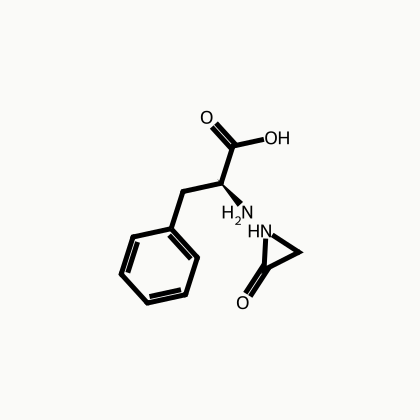 N[C@@H](Cc1ccccc1)C(=O)O.O=C1CN1